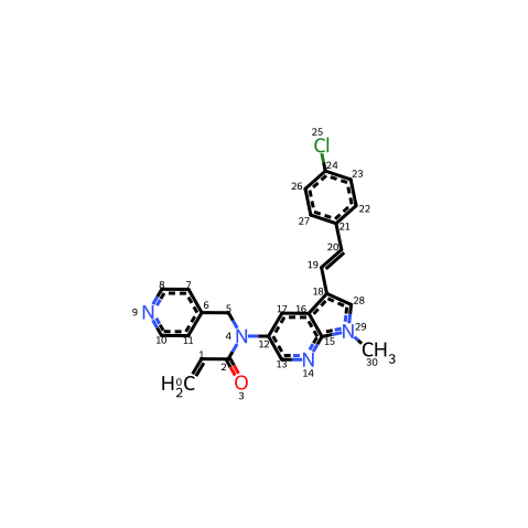 C=CC(=O)N(Cc1ccncc1)c1cnc2c(c1)c(C=Cc1ccc(Cl)cc1)cn2C